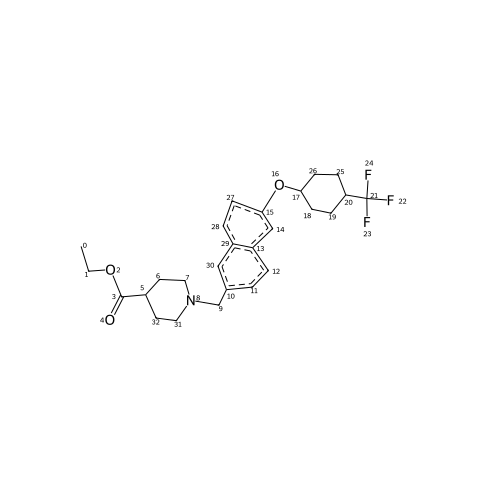 CCOC(=O)C1CCN(Cc2ccc3cc(OC4CCC(C(F)(F)F)CC4)ccc3c2)CC1